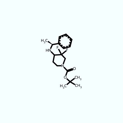 C[C@H](NC1CCN(C(=O)OC(C)(C)C)CC1(F)F)c1ccccc1